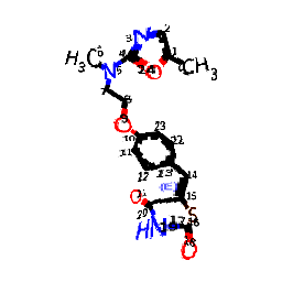 Cc1cnc(N(C)CCOc2ccc(/C=C3/SC(=O)NC3=O)cc2)o1